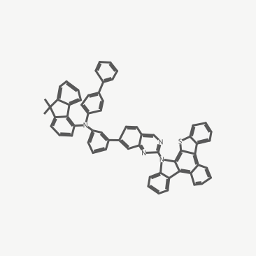 CC1(C)c2ccccc2-c2c(N(c3ccc(-c4ccccc4)cc3)c3cccc(-c4ccc5cnc(-n6c7ccccc7c7c8ccccc8c8c9ccccc9sc8c76)nc5c4)c3)cccc21